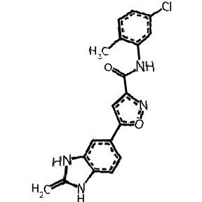 C=C1Nc2ccc(-c3cc(C(=O)Nc4cc(Cl)ccc4C)no3)cc2N1